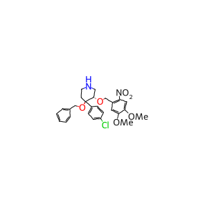 COc1cc(CO[C@H]2CNCC[C@@]2(OCc2ccccc2)c2ccc(Cl)cc2)c([N+](=O)[O-])cc1OC